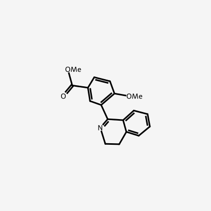 COC(=O)c1ccc(OC)c(C2=NCCc3ccccc32)c1